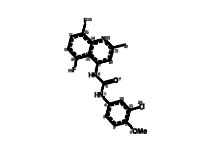 COc1ccc(NC(=O)Nc2cc(C)nc3c(F)ccc(F)c23)cc1Cl